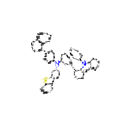 c1ccc(-n2c3ccccc3c3cccc(-c4cccc(N(c5ccc(-c6cccc7ccccc67)cc5)c5ccc6c(c5)sc5ccccc56)c4)c32)cc1